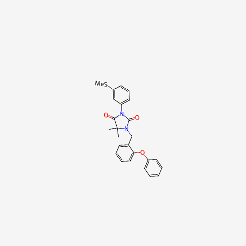 CSc1cccc(N2C(=O)N(Cc3ccccc3Oc3ccccc3)C(C)(C)C2=O)c1